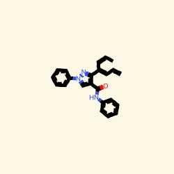 C=C/C=C(\C=C/C)c1nn(-c2ccccc2)cc1C(=O)Nc1ccccc1